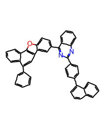 c1ccc(-c2cc3c4cc(-c5nc(-c6ccc(-c7cccc8ccccc78)cc6)nc6ccccc56)ccc4oc3c3ccccc23)cc1